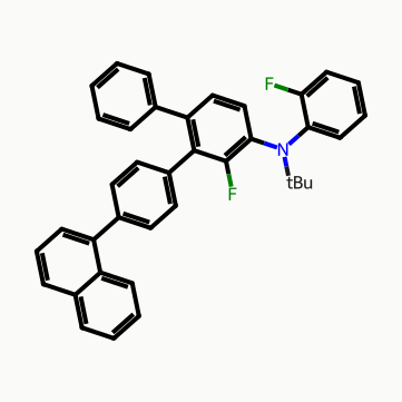 CC(C)(C)N(c1ccccc1F)c1ccc(-c2ccccc2)c(-c2ccc(-c3cccc4ccccc34)cc2)c1F